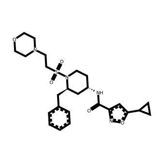 O=C(N[C@H]1CCN(S(=O)(=O)CCN2CCOCC2)[C@H](Cc2ccccc2)C1)c1cc(C2CC2)on1